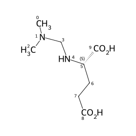 CN(C)CN[C@@H](CCC(=O)O)C(=O)O